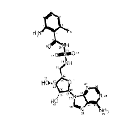 Nc1cccc(F)c1C(=O)NS(=O)(=O)NC[C@H]1O[C@@H](n2cnc3c(N)ncnc32)[C@H](O)[C@@H]1O